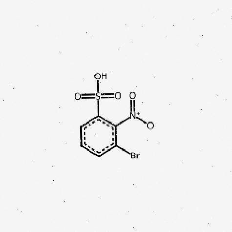 O=[N+]([O-])c1c(Br)cccc1S(=O)(=O)O